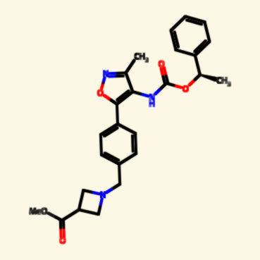 COC(=O)C1CN(Cc2ccc(-c3onc(C)c3NC(=O)O[C@H](C)c3ccccc3)cc2)C1